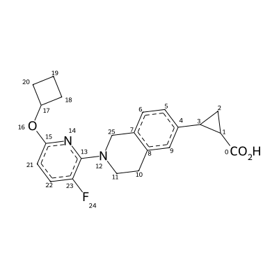 O=C(O)C1CC1c1ccc2c(c1)CCN(c1nc(OC3CCC3)ccc1F)C2